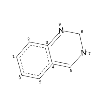 [c]1ccc2c(c1)=C[N]CN=2